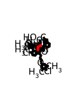 Cc1cc(OCCCc2c3n(c4c(-c5c(C)nn(C)c5C)c(Cl)ccc24)C(C)CN(c2cccc4cc(C(=O)O)n(C(C)c5ccccn5)c24)C3=O)cc(C)c1Cl